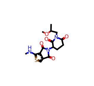 CNc1scc2c1C(=O)N(C1CCC(=O)N(CC(C)OC)C1=O)C2=O